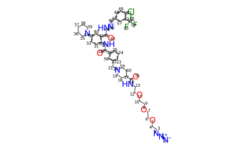 [N-]=[N+]=NCCOCCOCCOCCNC(=O)C1CCN(Cc2cccc(C(=O)Nc3ccc(N4CCCCC4)cc3C(=O)N/N=C/c3ccc(Cl)c(C(F)(F)F)c3)c2)CC1